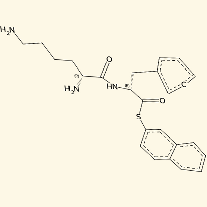 NCCCC[C@@H](N)C(=O)N[C@H](Cc1ccccc1)C(=O)Sc1ccc2ccccc2c1